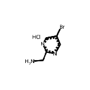 Cl.NCc1ncc(Br)cn1